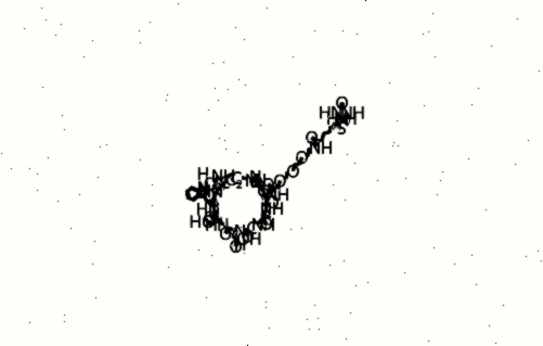 C[C@@H]1NC(=O)[C@@H](NC(=O)COCCOCCOCCNC(=O)CCCC[C@H]2SC[C@H]3NC(=O)N[C@H]32)Cc2cn(nn2)CCCC[C@@H](C(N)=O)NC(=O)[C@H](Cc2c[nH]c3ccccc23)NC(=O)[C@H](CO)NC(=O)[C@H](CC(=O)O)NC(=O)CNC1=O